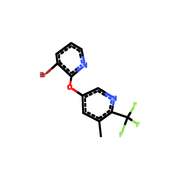 Cc1cc(Oc2ncccc2Br)cnc1C(F)(F)F